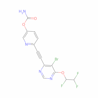 NC(=O)Oc1ccc(C#Cc2ncnc(OC(F)C(F)F)c2Br)nc1